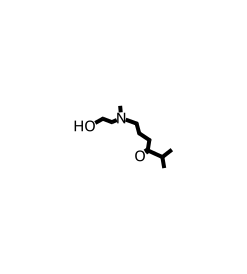 CC(C)C(=O)CCCN(C)CCO